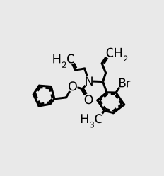 C=CCC(c1cc(C)ccc1Br)N(CC=C)C(=O)OCc1ccccc1